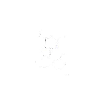 [CH2]CC(CC)c1cc(C)nc2c(-c3c(NC)cc(NC)cc3NC)c(C)cn12